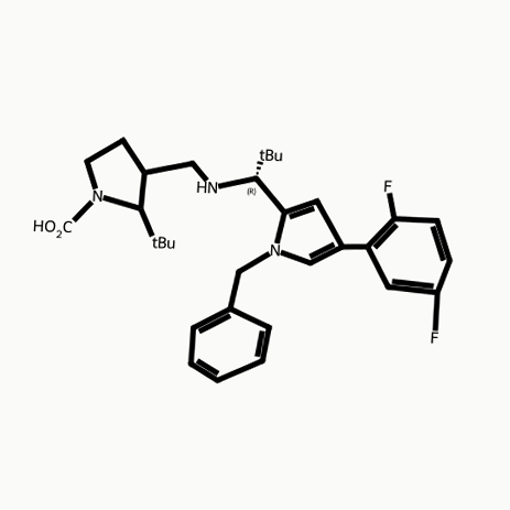 CC(C)(C)C1C(CN[C@@H](c2cc(-c3cc(F)ccc3F)cn2Cc2ccccc2)C(C)(C)C)CCN1C(=O)O